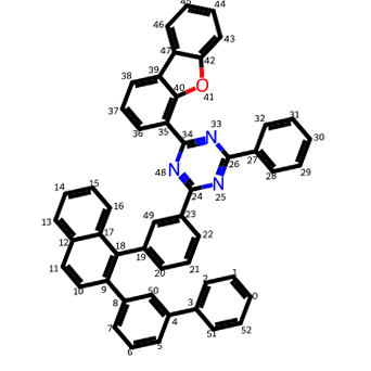 c1ccc(-c2cccc(-c3ccc4ccccc4c3-c3cccc(-c4nc(-c5ccccc5)nc(-c5cccc6c5oc5ccccc56)n4)c3)c2)cc1